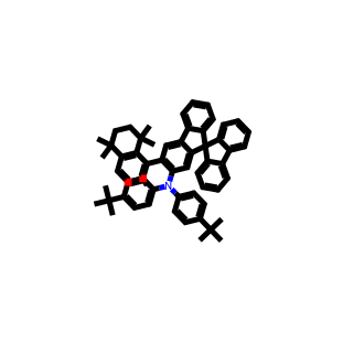 Cc1ccc2c(c1-c1cc3c(cc1N(c1ccc(C(C)(C)C)cc1)c1ccc(C(C)(C)C)cc1)C1(c4ccccc4-c4ccccc41)c1ccccc1-3)C(C)(C)CCC2(C)C